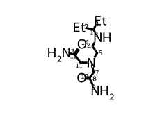 CCC(CC)NCCN(CC(N)=O)CC(N)=O